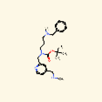 CNCc1ccnc(CN(CCCN(C)Cc2ccccc2)C(=O)OC(C)(C)C)c1